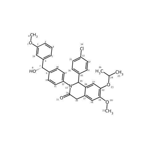 COc1cccc([C@@H](O)c2ccc(N3C(=O)Cc4cc(OC)c(OC(C)C)cc4C3c3ccc(Cl)cc3)cc2)c1